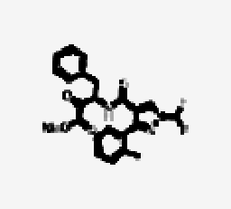 COC(=O)C(=O)C(Cc1ccccc1)NC(=O)c1cn(C(F)F)nc1-c1ccccc1C